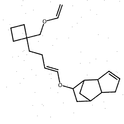 C=COCC1(CC/C=C/OC2CC3CC2C2C=CCC32)CCC1